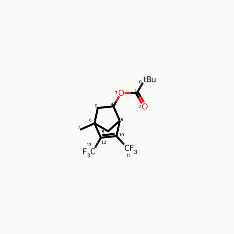 CC(C)(C)C(=O)OC1CC2(C)CC1C(C(F)(F)F)=C2C(F)(F)F